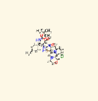 CC1CCC([C@H](NC(=O)OC(C)(C)C)C(=C=O)Nc2ncc([C@@H](CN3CCOCC3)N3C=C(Cl)C=CC3=C=O)s2)CC1